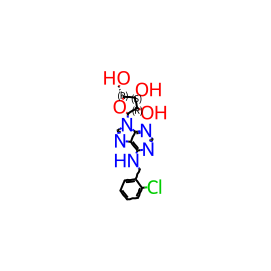 OC[C@H]1OC(n2cnc3c(NCc4ccccc4Cl)ncnc32)[C@H](O)[C@@H]1O